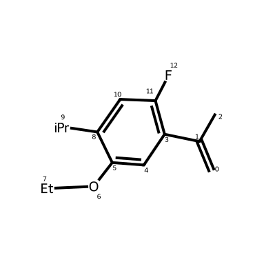 C=C(C)c1cc(OCC)c(C(C)C)cc1F